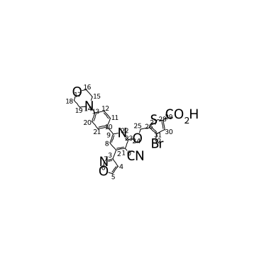 N#Cc1c(-c2ccon2)cc(-c2ccc(N3CCOCC3)cc2)nc1OCc1sc(C(=O)O)cc1Br